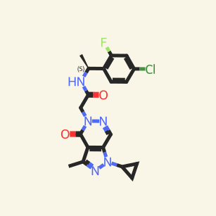 Cc1nn(C2CC2)c2cnn(CC(=O)N[C@@H](C)c3ccc(Cl)cc3F)c(=O)c12